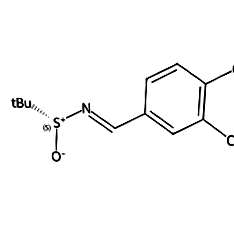 CC(C)(C)[S@@+]([O-])N=Cc1ccc(Cl)c(Cl)c1